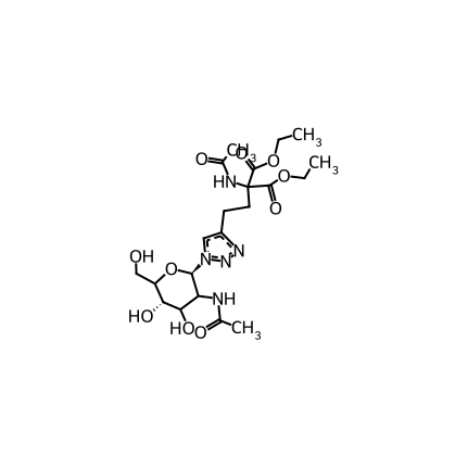 CCOC(=O)C(CCc1cn([C@@H]2OC(CO)[C@@H](O)C(O)C2NC(C)=O)nn1)(NC(C)=O)C(=O)OCC